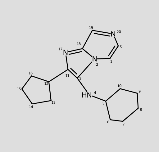 c1cn2c(NC3CCCCC3)c(C3CCCC3)nc2cn1